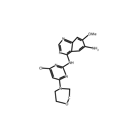 COc1cc2ncnc(Nc3nc(Cl)cc(N4CCOCC4)n3)c2cc1N